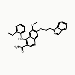 CCc1ccccc1Nc1c(C(N)=O)cnc2cc(OCCn3ncc4ccccc43)c(OC)cc12